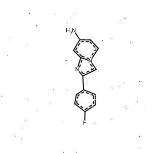 Nc1ccn2cc(-c3ccc(F)cc3)nc2c1